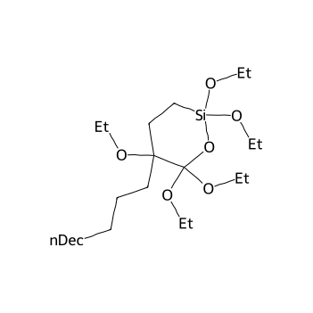 CCCCCCCCCCCCCC1(OCC)CC[Si](OCC)(OCC)OC1(OCC)OCC